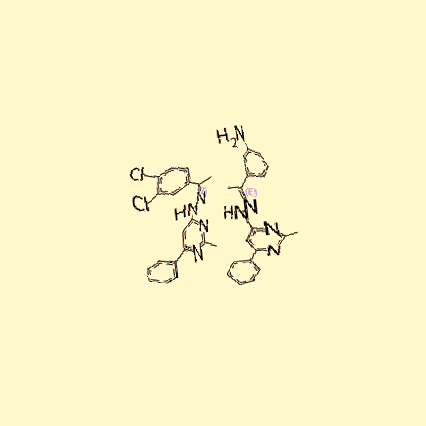 C/C(=N/Nc1cc(-c2ccccc2)nc(C)n1)c1ccc(Cl)c(Cl)c1.C/C(=N\Nc1cc(-c2ccccc2)nc(C)n1)c1cccc(N)c1